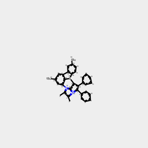 Cc1c(C)n2c(-c3ccccc3)c(-c3ccccc3)c3c2n1-c1cc(C(C)(C)C)cc2c1B3c1ccc(C(C)(C)C)cc1-2